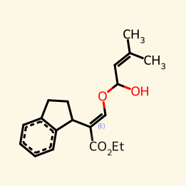 CCOC(=O)/C(=C/OC(O)C=C(C)C)C1CCc2ccccc21